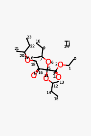 CCOC(=O)C(OC(C)CC)(OC(C)CC)C(=O)COC(C)CC.[Ti]